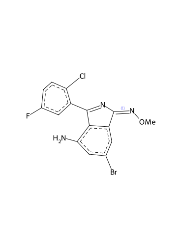 CO/N=C1/N=C(c2cc(F)ccc2Cl)c2c(N)cc(Br)cc21